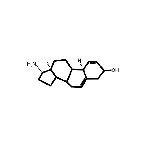 C[C@]12CCC3C(CC=C4CC(O)C=C[C@@H]43)C1CC[C@@H]2N